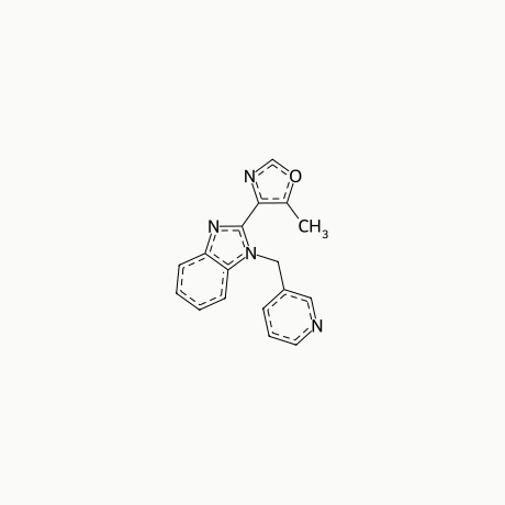 Cc1ocnc1-c1nc2ccccc2n1Cc1cccnc1